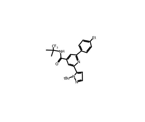 CCc1ccc(-c2cc(C(=O)NC(C)(C)C(F)(F)F)cc(-c3ccnn3C(C)(C)C)n2)cc1